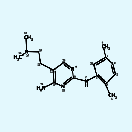 Cc1ccc(C)c(Nc2ncc(CCN(C)C)c(N)n2)c1